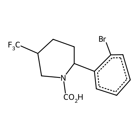 O=C(O)N1CC(C(F)(F)F)CCC1c1ccccc1Br